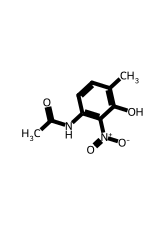 CC(=O)Nc1ccc(C)c(O)c1[N+](=O)[O-]